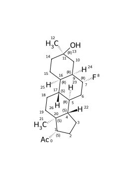 CC(=O)[C@H]1CC[C@H]2[C@@H]3C[C@@H](F)[C@@H]4C[C@](C)(O)CC[C@@H]4[C@H]3CC[C@]12C